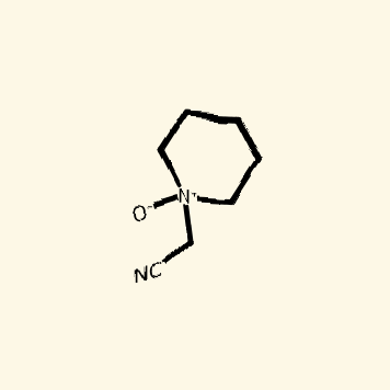 N#CC[N+]1([O-])CCCCC1